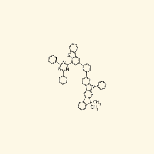 CC1(C)c2ccccc2-c2cc3c4ccc(-c5cccc(-c6cc(-c7nc(-c8ccccc8)nc(-c8ccccc8)n7)c7sc8ccccc8c7c6)c5)cc4n(-c4ccccc4)c3cc21